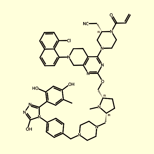 C=CC(=O)N1CCN(c2nc(OC[C@@H]3CC[C@H](CN4CCN(Cc5ccc(-n6c(O)nnc6-c6cc(C)c(O)cc6O)cc5)CC4)N3C)nc3c2CCN(c2cccc4cccc(Cl)c24)C3)C[C@@H]1CC#N